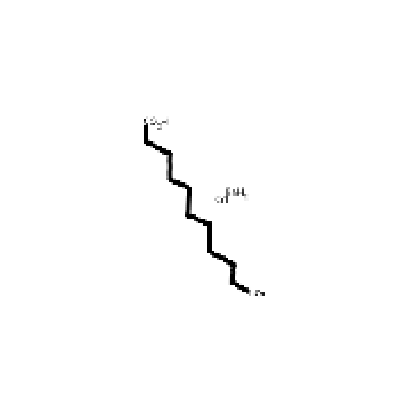 CCCCCCCCCCCCCCCCCC(=O)O.[BaH2].[Cd]